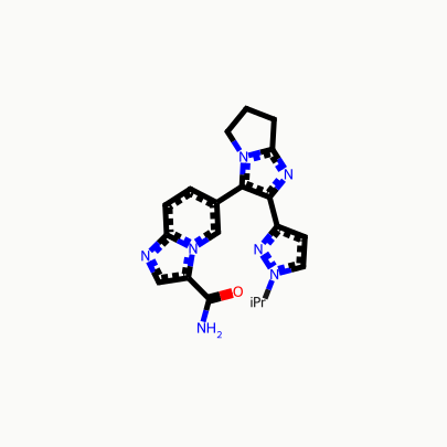 CC(C)n1ccc(-c2nc3n(c2-c2ccc4ncc(C(N)=O)n4c2)CCC3)n1